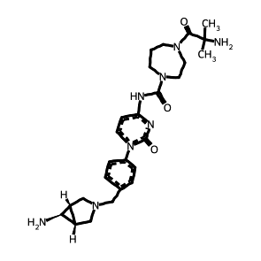 CC(C)(N)C(=O)N1CCCN(C(=O)Nc2ccn(-c3ccc(CN4C[C@@H]5[C@@H](N)[C@@H]5C4)cc3)c(=O)n2)CC1